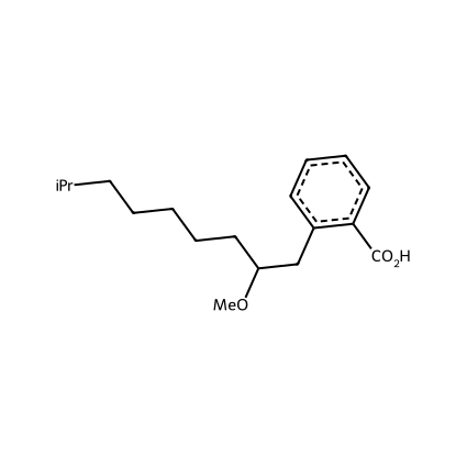 COC(CCCCCC(C)C)Cc1ccccc1C(=O)O